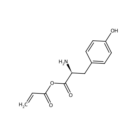 C=CC(=O)OC(=O)[C@@H](N)Cc1ccc(O)cc1